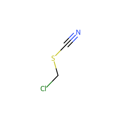 N#CSCCl